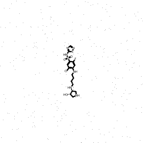 O=S(=O)(Nc1ncns1)c1cc(Cl)c(NCCCCN[C@H]2CNC[C@@H]2O)cc1F